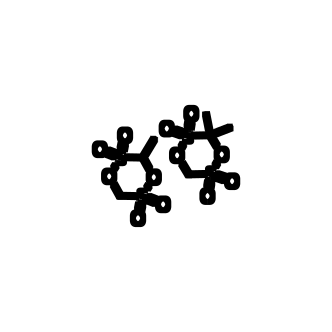 CC1(C)OS(=O)(=O)COS1(=O)=O.CC1OS(=O)(=O)COS1(=O)=O